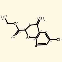 C=C1CC(C(=O)OCC)Oc2ccc(Cl)cc21